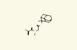 C=C(C)C(=O)N(C)CC(=O)OC1(C)C2CC3CC(C2)CC1C3